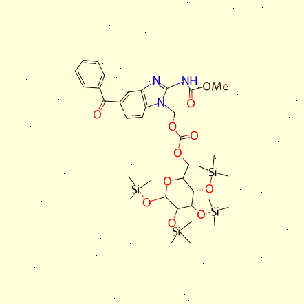 COC(=O)Nc1nc2cc(C(=O)c3ccccc3)ccc2n1COC(=O)OCC1OC(O[Si](C)(C)C)C(O[Si](C)(C)C)C(O[Si](C)(C)C)[C@H]1O[Si](C)(C)C